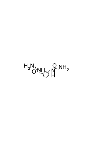 NCC(=O)NCc1cccc(CNC(=O)CN)c1